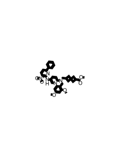 COC(=O)C1CC2(CC(CN(Cc3ccc(OC)cc3OC)c3ccc(Nc4nc(-c5ccccc5)ccc4[N+](=O)[O-])cn3)C2)C1